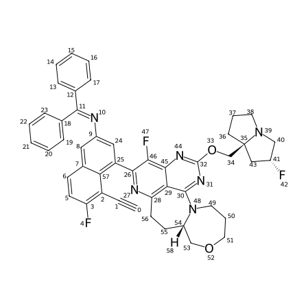 C#Cc1c(F)ccc2cc(N=C(c3ccccc3)c3ccccc3)cc(-c3nc4c5c(nc(OC[C@@]67CCCN6C[C@H](F)C7)nc5c3F)N3CCCOC[C@@H]3CC4)c12